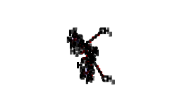 [C-]#[N+]/C(C#N)=C1\C(=C\c2ccc(-c3sc4c(sc5c6c7nsnc7c7c8sc9c(CCCCCCCCCCC)c(-c%10ccc(/C=C%11\C(=O)c%12cc(F)c(F)cc%12\C%11=C(\C#N)[N+]#[C-])s%10)sc9c8n(CC(CC)CCCC)c7c6n(CC(CC)CCCC)c45)c3CCCCCCCCCCC)[se]2)C(=O)c2cc(F)c(F)cc21